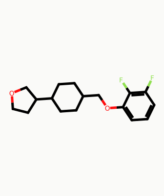 Fc1cccc(OCC2CCC(C3CCOC3)CC2)c1F